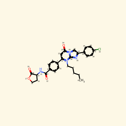 CCCCCn1c(-c2ccc(C(=O)NC3CCOC3=O)cc2)cc(=O)n2cc(-c3ccc(Cl)cc3)nc12